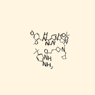 COc1ccc(CNc2ncnc3c2ccn3[C@@H]2CC(CN(CC3CCC3)[C@H]3C[C@H](CCC(=O)Nc4cc(C(C)(C)C)ccc4N)C3)[C@H]3OC(C)(C)O[C@H]32)c(OC)c1